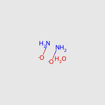 N[O].N[O].O